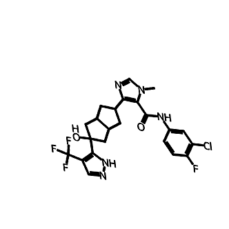 Cn1cnc(C2CC3CC(O)(c4[nH]ncc4C(F)(F)F)CC3C2)c1C(=O)Nc1ccc(F)c(Cl)c1